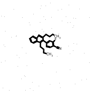 CCCCc1cc2ccccc2c(CCCC)c1-c1ccc(C#N)c(F)c1